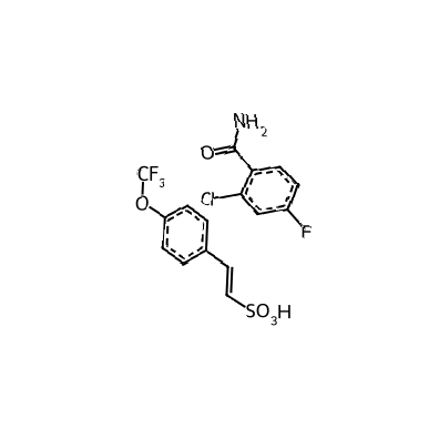 NC(=O)c1ccc(F)cc1Cl.O=S(=O)(O)C=Cc1ccc(OC(F)(F)F)cc1